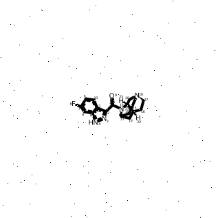 O=C(c1n[nH]c2cc(F)ccc12)N1C2C[C@H]3CC[N@@](C2)C[C@H]31